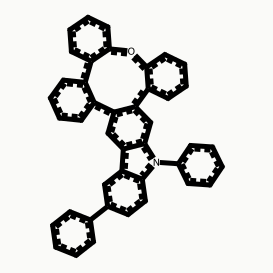 c1ccc(-c2ccc3c(c2)c2cc4c(cc2n3-c2ccccc2)c2ccccc2oc2ccccc2c2ccccc24)cc1